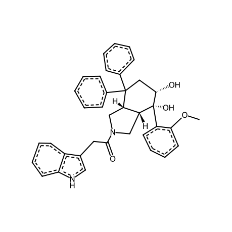 COc1ccccc1[C@@]1(O)[C@@H]2CN(C(=O)Cc3c[nH]c4ccccc34)C[C@@H]2C(c2ccccc2)(c2ccccc2)C[C@@H]1O